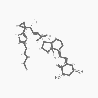 C=C1/C(=C\C=C2/CCC[C@]3(C)[C@@H](C(C)(C)/C=C/[C@@H](O)C4(c5nc(CCCCC)cs5)CC4)CC[C@@H]23)C[C@@H](O)C[C@@H]1O